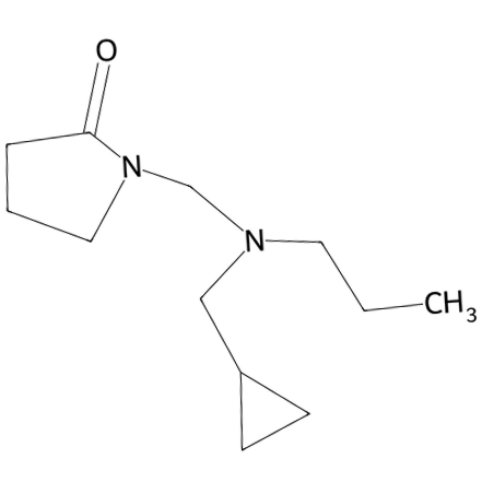 CCCN(CC1CC1)CN1CCCC1=O